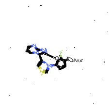 COc1ccc(N2CSC=C2c2c(C)nc3ncccn23)cc1F